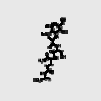 CC(=O)N[C@@H](C=O)[C@@H](OC(C)C(=O)NC(CO)C(=O)NC(CCC(=O)NC(C)C(=O)O)C(N)=O)[C@H](O)[C@H](O)CO